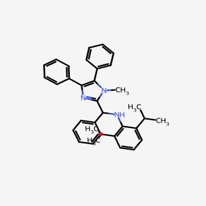 CC(C)c1cccc(C(C)C)c1NC(c1ccccc1)c1nc(-c2ccccc2)c(-c2ccccc2)n1C